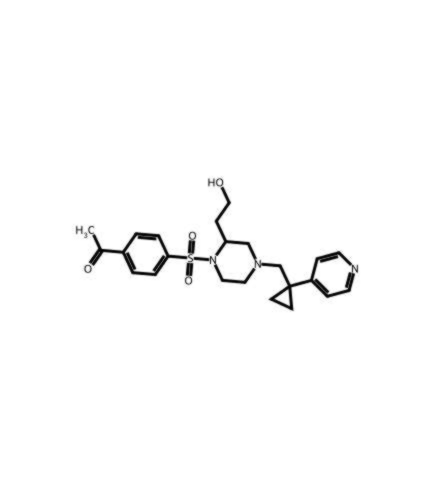 CC(=O)c1ccc(S(=O)(=O)N2CCN(CC3(c4ccncc4)CC3)CC2CCO)cc1